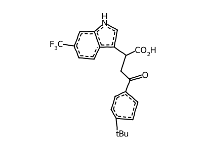 CC(C)(C)c1ccc(C(=O)CC(C(=O)O)c2c[nH]c3cc(C(F)(F)F)ccc23)cc1